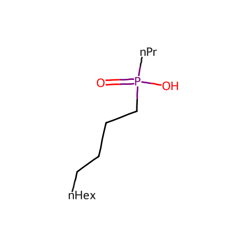 CCCCCCCCCCP(=O)(O)CCC